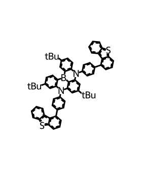 CC(C)(C)c1ccc2c(c1)B1c3ccc(C(C)(C)C)cc3N(c3ccc(-c4cccc5sc6ccccc6c45)cc3)c3cc(C(C)(C)C)cc(c31)N2c1ccc(-c2cccc3sc4ccccc4c23)cc1